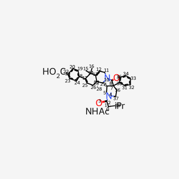 CC(=O)NC(C(=O)N1CCC(C(=O)N2CC=C3C(C)(C)C(c4ccc(C(=O)O)cc4)=CC[C@]3(C)C2)(c2ccccc2)CC1)C(C)C